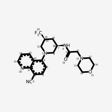 N#Cc1ccc(N2C[C@H](NC(=O)CN3CCOCC3)C[C@H](C(F)(F)F)C2)c2cccnc12